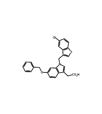 O=C(O)Cc1cn(Cc2csc3ccc(Cl)cc23)c2cc(OCc3ccccc3)ccc12